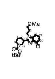 COCCCn1c(C2CCCN(C(=O)OC(C)(C)C)C2)nc2c(Cl)cccc21